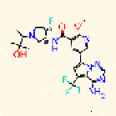 COc1ncc(-c2cc(C(F)(F)F)c3c(N)ncnn23)cc1C(=O)N[C@@H]1CN(C(C)C(C)(C)O)C[C@@H]1F